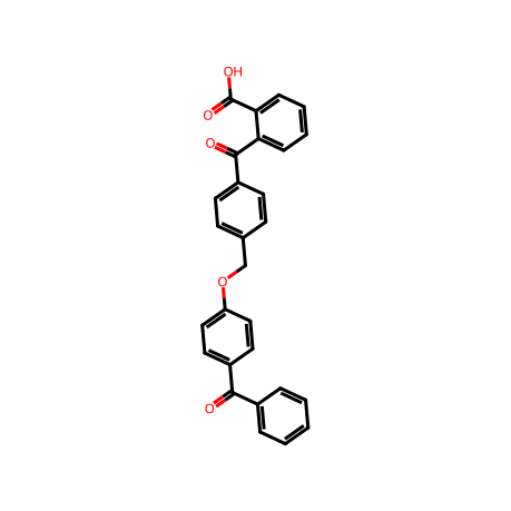 O=C(c1ccccc1)c1ccc(OCc2ccc(C(=O)c3ccccc3C(=O)O)cc2)cc1